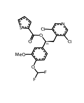 COc1cc([C@H](Cc2c(Cl)cncc2Cl)OC(=O)c2cccs2)ccc1OC(F)F